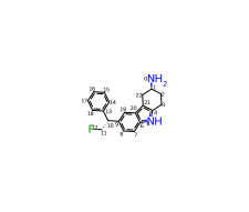 N[C@H]1CCc2[nH]c3ccc([C@H](CF)c4ccccc4)cc3c2C1